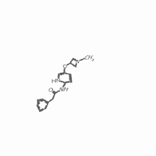 CN1CC(OC2=CNC(NC(=O)Cc3ccccc3)C=C2)C1